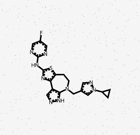 Fc1cnc(Nc2nc3c(s2)CCN(Cc2cnn(C4CC4)c2)c2[nH]ncc2-3)nc1